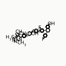 Cc1sc2c(c1C)C(c1ccc(N3CCC(O)(CN4CCN(c5ccc([C@H]6c7ccc(O)cc7CC[C@H]6c6ccc(F)cc6)cc5F)CC4)CC3)cc1)=N[C@@H](C)c1nnc(C)n1-2